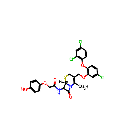 O=C(COc1ccc(O)cc1)NC1C(=O)N2C(C(=O)O)=C(COc3cc(Cl)ccc3Oc3ccc(Cl)cc3Cl)CS[C@@H]12